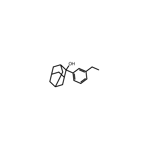 CCc1cccc(C2(O)C3CC4CC(C3)CC2C4)c1